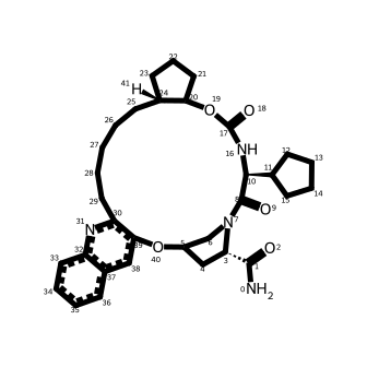 NC(=O)[C@@H]1CC2CN1C(=O)[C@H](C1CCCC1)NC(=O)OC1CCC[C@H]1CCCCCc1nc3ccccc3cc1O2